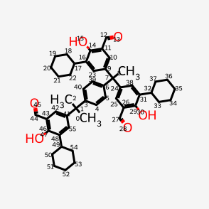 CC(C)(c1ccc(C(C)(c2cc(C=O)c(O)c(C3CCCCC3)c2)c2cc(C=O)c(O)c(C3CCCCC3)c2)cc1)c1cc(C=O)c(O)c(C2CCCCC2)c1